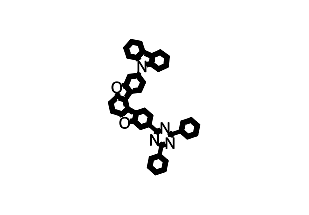 c1ccc(-c2nc(-c3ccccc3)nc(-c3ccc4c(c3)oc3ccc5oc6cc(-n7c8ccccc8c8ccccc87)ccc6c5c34)n2)cc1